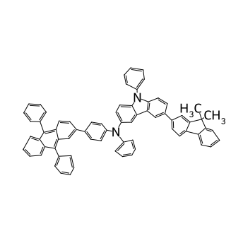 CC1(C)c2ccccc2-c2ccc(-c3ccc4c(c3)c3cc(N(c5ccccc5)c5ccc(-c6ccc7c(-c8ccccc8)c8ccccc8c(-c8ccccc8)c7c6)cc5)ccc3n4-c3ccccc3)cc21